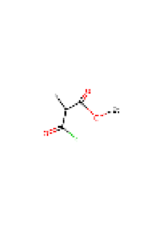 CCOC(=O)C(C)C(=O)Cl